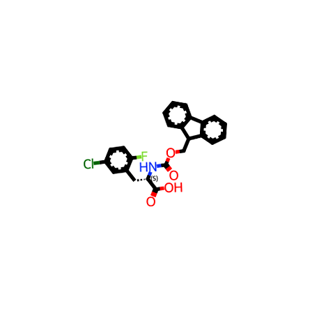 O=C(N[C@@H](Cc1cc(Cl)ccc1F)C(=O)O)OCC1c2ccccc2-c2ccccc21